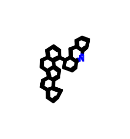 C1=Cc2nc3ccccc3cc2C(c2cccc3ccc4c5ccc6ccccc6c5ccc4c23)C1